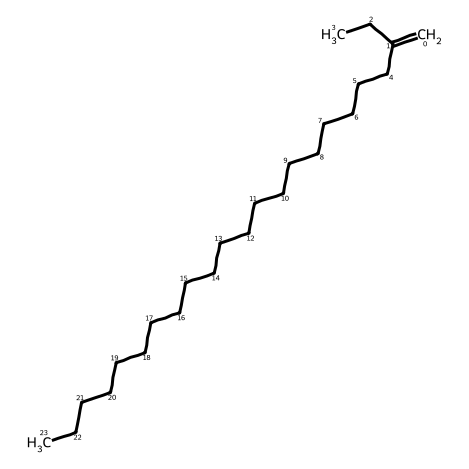 C=C(CC)CCCCCCCCCCCCCCCCCCCC